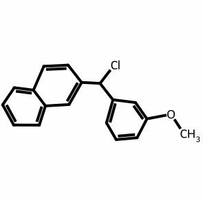 COc1cccc(C(Cl)c2ccc3ccccc3c2)c1